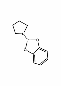 c1ccc2c(c1)OP(N1CCCC1)O2